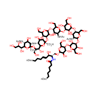 CCCCCCCCCCCCC/C=C/[C@@H](O)[C@H](CO[C@@H]1OC(CO)[C@@H](O[C@@H]2OC(CO)[C@H](O)[C@H](O[C@@H]3OC(CO)[C@@H](O[C@@H]4OC(CO)[C@H](O)[C@H](O[C@@H]5OC(CO)[C@@H](O[C@@H]6OC(CO)[C@H](O)[C@H](O[C@]7(C(=O)O)CC(O)[C@@H](NC(C)=O)C([C@H](O)[C@@H](CO)O[C@]8(C(=O)O)CC(O)[C@@H](NC(C)=O)C([C@H](O)[C@H](O)CO)O8)O7)C6O)[C@H](O)C5NC(C)=O)C4O)[C@H](O)C3NC(C)=O)C2O)[C@H](O)C1O)NC(=O)CCCCCCCCCCCCCCC